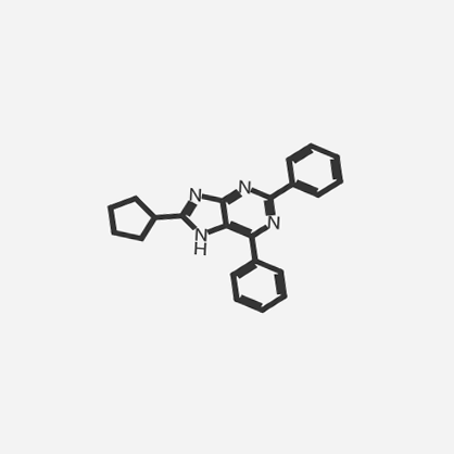 c1ccc(-c2nc(-c3ccccc3)c3[nH]c(C4CCCC4)nc3n2)cc1